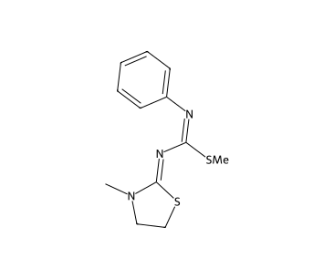 CSC(=Nc1ccccc1)N=C1SCCN1C